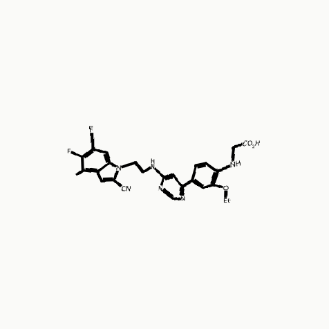 CCOc1cc(-c2cc(NCCn3c(C#N)cc4c(C)c(F)c(F)cc43)ncn2)ccc1NCC(=O)O